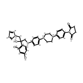 O=C1CCC(=O)N1c1ccc(N2CCN(c3ccc(OCC(O)(Cn4cncn4)c4ccc(Cl)cc4Cl)cc3)CC2)cc1